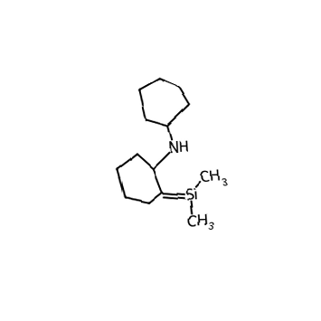 C[Si](C)=C1CCCCC1NC1CCCCC1